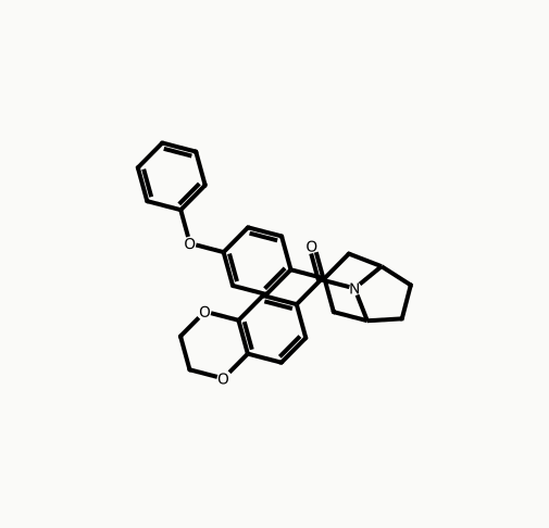 O=C(c1ccc2c(c1)OCCO2)N1C2CCC1CC(c1ccc(Oc3ccccc3)cc1)C2